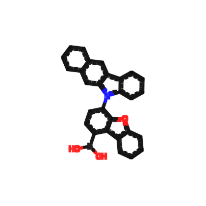 OB(O)c1ccc(-n2c3ccccc3c3cc4ccccc4cc32)c2oc3ccccc3c12